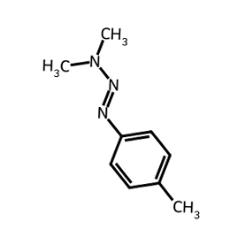 Cc1ccc(/N=N/N(C)C)cc1